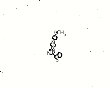 COc1ccc(N2CCN(c3cncc(-c4csc5ccccc45)n3)CC2)cc1